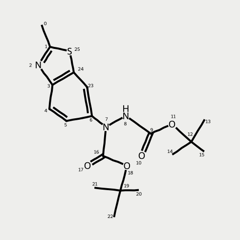 Cc1nc2ccc(N(NC(=O)OC(C)(C)C)C(=O)OC(C)(C)C)cc2s1